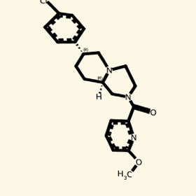 COc1cccc(C(=O)N2CCN3C[C@@H](c4ccc(Cl)cc4)CC[C@@H]3C2)n1